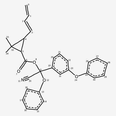 C=CC=CC1C(C(=O)OC(C#N)(Oc2ccccc2)c2cccc(Oc3ccccc3)c2)C1(C)C